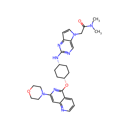 CN(C)C(=O)Cn1ccc2nc(N[C@H]3CC[C@@H](Oc4nc(N5CCOCC5)cc5ncccc45)CC3)ncc21